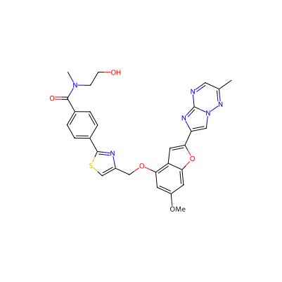 COc1cc(OCc2csc(-c3ccc(C(=O)N(C)CCO)cc3)n2)c2cc(-c3cn4nc(C)cnc4n3)oc2c1